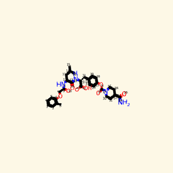 Cc1ccccc1OCC(=O)NC(CC(C)C)C(=O)N[C@@H](Cc1ccc(OC(=O)N2CCC(C(N)=O)CC2)cc1)C(=O)O